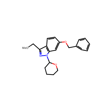 COCc1nn(C2CCCCO2)c2cc(OCc3ccccc3)ccc12